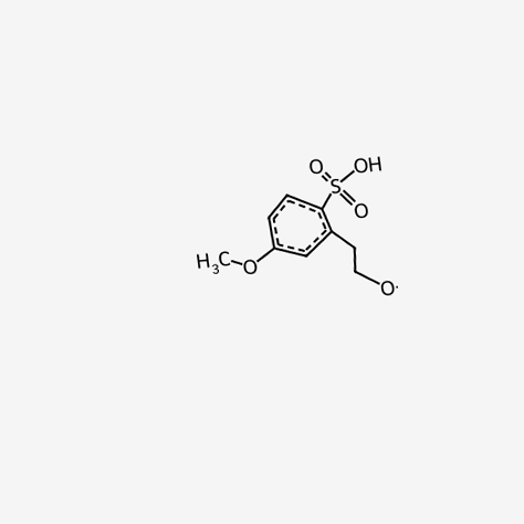 COc1ccc(S(=O)(=O)O)c(CC[O])c1